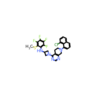 CSc1c(F)c(F)c(F)c(F)c1NC1CN(c2ncnc3c2CCN(c2cccc4cccc(Cl)c24)C3)C1